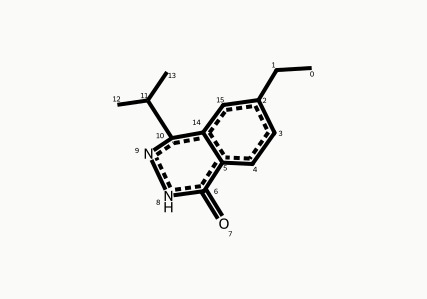 CCc1ccc2c(=O)[nH]nc(C(C)C)c2c1